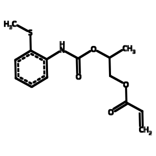 C=CC(=O)OCC(C)OC(=O)Nc1ccccc1SC